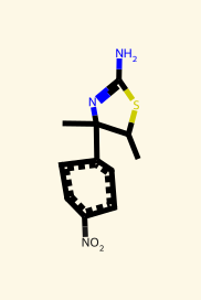 CC1SC(N)=NC1(C)c1ccc([N+](=O)[O-])cc1